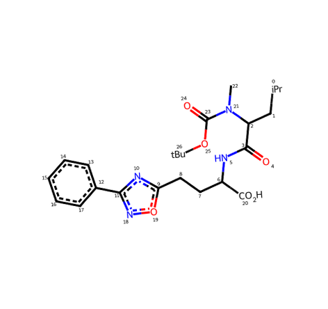 CC(C)CC(C(=O)NC(CCc1nc(-c2ccccc2)no1)C(=O)O)N(C)C(=O)OC(C)(C)C